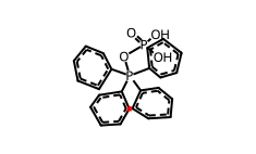 O=P(O)(O)OP(c1ccccc1)(c1ccccc1)(c1ccccc1)c1ccccc1